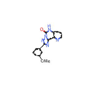 COc1cccc(-c2nc3c4ncccc4[nH]c(=O)n3n2)c1